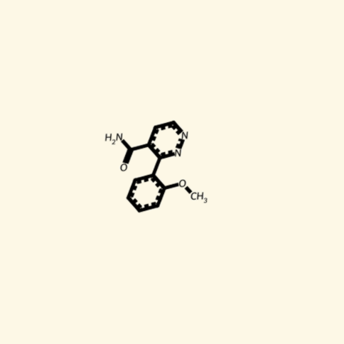 COc1ccccc1-c1nnccc1C(N)=O